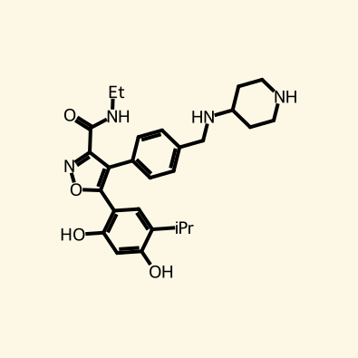 CCNC(=O)c1noc(-c2cc(C(C)C)c(O)cc2O)c1-c1ccc(CNC2CCNCC2)cc1